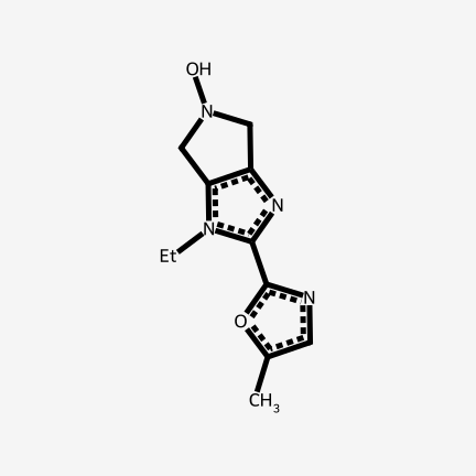 CCn1c(-c2ncc(C)o2)nc2c1CN(O)C2